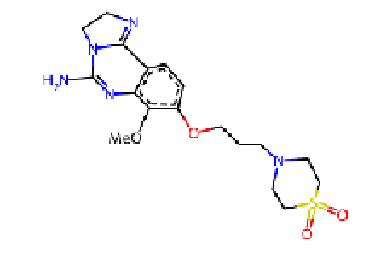 COc1c(OCCCN2CCS(=O)(=O)CC2)ccc2c1N=C(N)N1CCN=C21